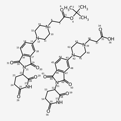 CC(C)(C)OC(=O)CCN1CCN(c2ccc3c(c2)C(=O)N(C2CCC(=O)NC2=O)C3=O)CC1.O=C(O)CCN1CCN(c2ccc3c(c2)C(=O)N(C2CCC(=O)NC2=O)C3=O)CC1